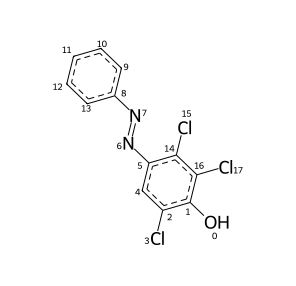 Oc1c(Cl)cc(N=Nc2ccccc2)c(Cl)c1Cl